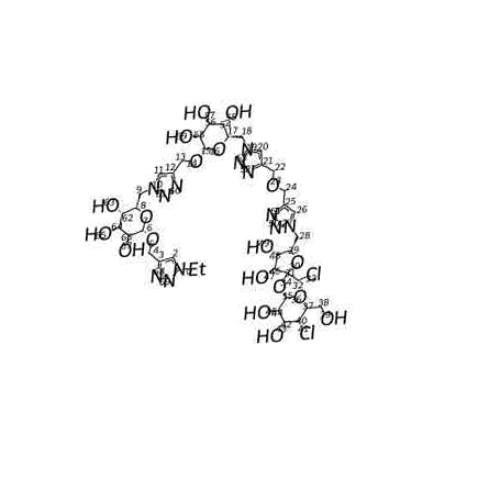 CCn1cc(CO[C@H]2O[C@H](Cn3cc(CO[C@H]4O[C@H](Cn5cc(COCc6cn(C[C@H]7OC(CCl)(O[C@H]8OC(CO)[C@H](Cl)[C@H](O)[C@H]8O)[C@@H](O)[C@@H]7O)nn6)nn5)[C@@H](O)[C@H](O)[C@@H]4O)nn3)[C@@H](O)[C@H](O)[C@@H]2O)nn1